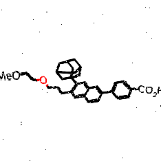 COCCOCCCc1cc2ccc(-c3ccc(C(=O)O)cc3)cc2cc1C12CC3CC(CC(C3)C1)C2